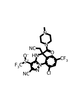 CN1CCN(C(=O)C2(CC#N)Nc3c([S+]([O-])C(F)(F)F)c(C#N)nn3-c3c(Cl)cc(C(F)(F)F)cc32)CC1